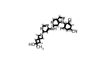 CC1(O)CC2(CN(c3cc(Nc4cc5c(cn4)cnn5-c4c(F)cc(C#N)cc4Cl)ncn3)C2)C1